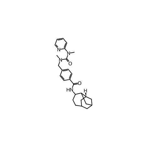 CN(Cc1ccc(C(=O)NC2CCC3CC4CC2[C@@H](C3)C4)cc1)C(=O)N(C)c1ccccn1